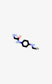 CC(C)CNC1CCC(NC(=O)CN)CC1